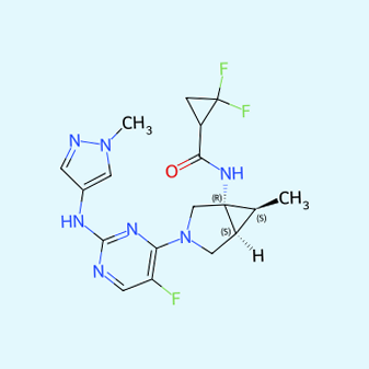 C[C@H]1[C@H]2CN(c3nc(Nc4cnn(C)c4)ncc3F)C[C@]21NC(=O)C1CC1(F)F